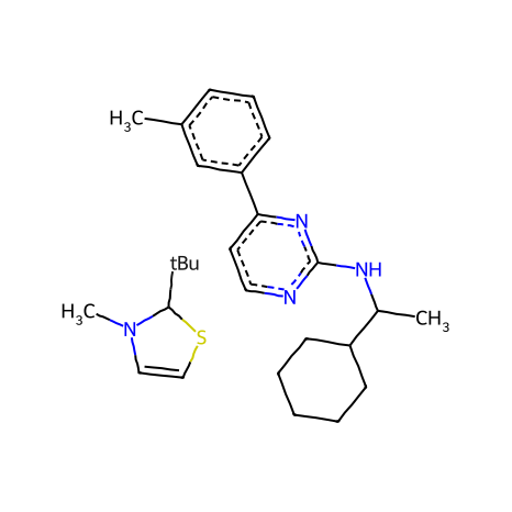 CN1C=CSC1C(C)(C)C.Cc1cccc(-c2ccnc(NC(C)C3CCCCC3)n2)c1